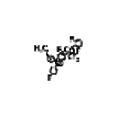 C=CCN1CCC(c2ccc(C(OCc3c(F)cccc3F)(C(F)(F)F)C(F)(F)F)cc2)([S+]([O-])c2ccc(F)cc2)C1